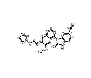 COc1cc2c(C3C(=O)Nc4ccc(C#N)cc43)ncnc2cc1OCCn1ccnc1